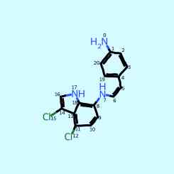 Nc1ccc(/C=C\Nc2ccc(Cl)c3c(Cl)c[nH]c23)cc1